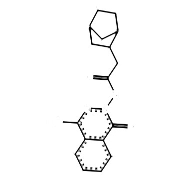 O=C(CC1CC2CCC1C2)Nn1nc(C(=O)O)c2ccccc2c1=O